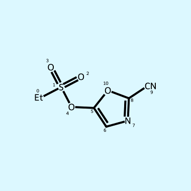 CCS(=O)(=O)Oc1cnc(C#N)o1